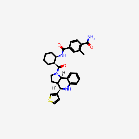 Cc1cc(C(=O)N[C@@H]2CCCC[C@@H]2C(=O)N2CC[C@@H]3[C@H](c4ccsc4)Nc4ccccc4[C@@H]32)ccc1C(N)=O